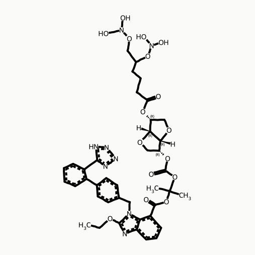 CCOc1nc2cccc(C(=O)OC(C)(C)OC(=O)O[C@@H]3CO[C@H]4[C@@H]3OC[C@H]4OC(=O)CCCC(CON(O)O)ON(O)O)c2n1Cc1ccc(-c2ccccc2-c2nnn[nH]2)cc1